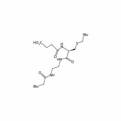 CC(C)(C)CSC[C@H](NC(=O)CCC(=O)O)C(=O)NCCNC(=O)CC(C)(C)C